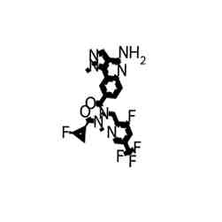 CN(C(=O)[C@H]1C[C@H]1F)N(Cc1ncc(C(F)(F)F)cc1F)C(=O)c1ccc2nc(N)c3cnn(C)c3c2c1